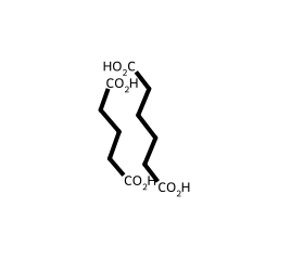 O=C(O)CCCC(=O)O.O=C(O)CCCCC(=O)O